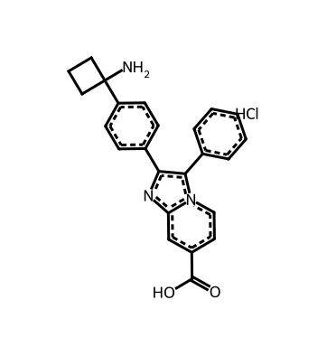 Cl.NC1(c2ccc(-c3nc4cc(C(=O)O)ccn4c3-c3ccccc3)cc2)CCC1